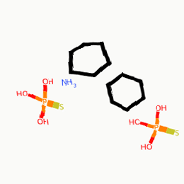 C1CCCCC1.C1CCCCC1.N.OP(O)(O)=S.OP(O)(O)=S